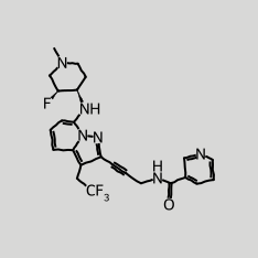 CN1CC[C@@H](Nc2cccc3c(CC(F)(F)F)c(C#CCNC(=O)c4cccnc4)nn23)[C@@H](F)C1